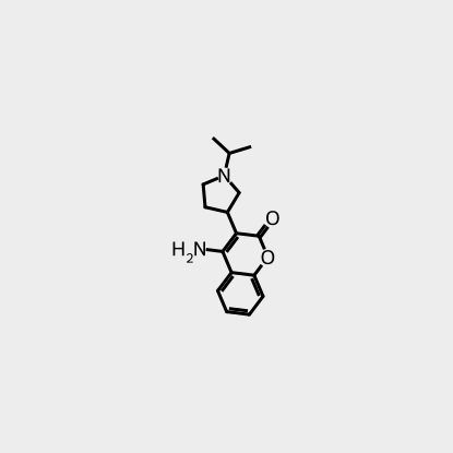 CC(C)N1CCC(c2c(N)c3ccccc3oc2=O)C1